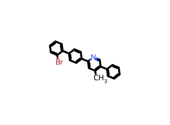 Cc1cc(-c2ccc(-c3ccccc3Br)cc2)ncc1-c1ccccc1